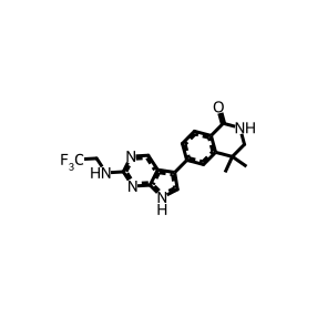 CC1(C)CNC(=O)c2ccc(-c3c[nH]c4nc(NCC(F)(F)F)ncc34)cc21